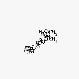 CCC(C)(C)CC(C)C(=O)OCOC(=O)CC(=O)OCCC(F)(F)C(F)(F)C(F)(F)C(F)(F)F